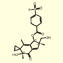 CC1=C2C(=C[C@@](C)(CO)[C@@H]2OC(=O)C2C=CC(S(=O)(=O)F)=CC2)C(=O)[C@](C)(O)C12CC2